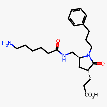 NCCCCCC(=O)NC[C@@H]1C[C@@H](CCC(=O)O)C(=O)N1CCCc1ccccc1